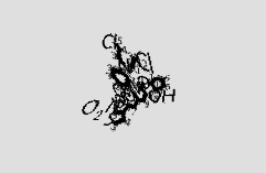 O=[N+]([O-])c1sccc1C(Cc1ccc(O[C@@H]2CCC[C@@H]2O)nc1)S(=O)(=O)Oc1ccc(N(CCCl)CCCl)cc1